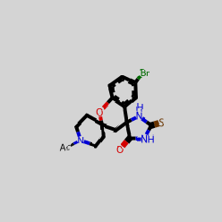 CC(=O)N1CCC2(CC1)CC1(NC(=S)NC1=O)c1cc(Br)ccc1O2